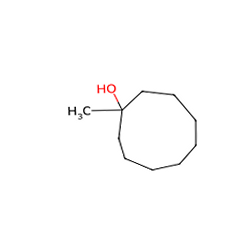 CC1(O)CCCCCCCC1